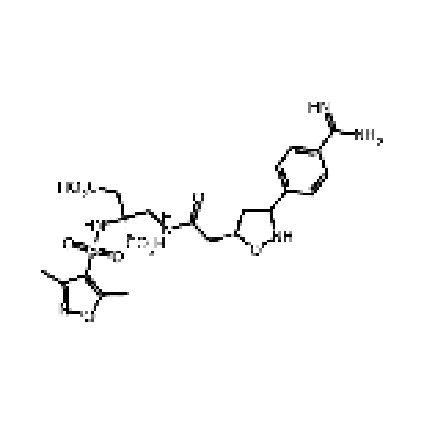 Cc1noc(C)c1S(=O)(=O)N[C@](CNC(=O)C[C@H]1CC(c2ccc(C(=N)N)cc2)NO1)(CC(=O)O)C(=O)O